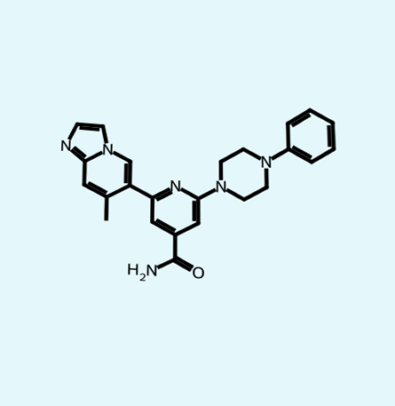 Cc1cc2nccn2cc1-c1cc(C(N)=O)cc(N2CCN(c3ccccc3)CC2)n1